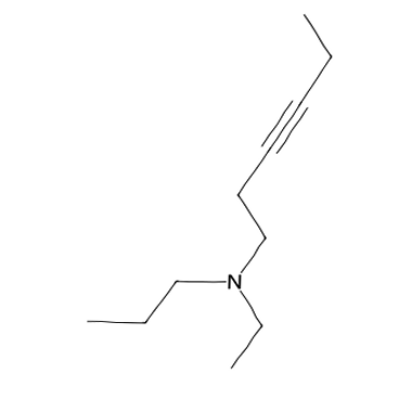 CCC#CCCN(CC)CCC